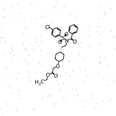 CCOC(=O)CO[C@H]1CC[C@H](CCN(C(=O)c2ccccc2)S(=O)(=O)c2ccc(Cl)cc2)CC1